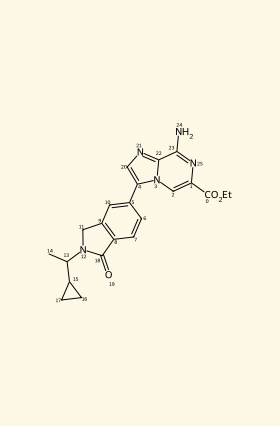 CCOC(=O)c1cn2c(-c3ccc4c(c3)CN(C(C)C3CC3)C4=O)cnc2c(N)n1